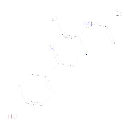 CCC(=O)Nc1ncc(-c2ccc(O)cc2)nc1CC